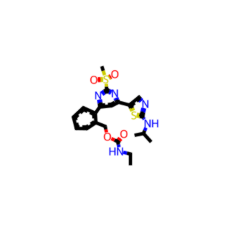 CCNC(=O)OCc1ccccc1-c1cc(-c2cnc(NC(C)C)s2)nc(S(C)(=O)=O)n1